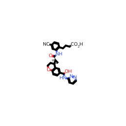 N#Cc1ccc(CCCC(=O)O)c(NC(=O)[C@@H]2C[C@]23CCOc2ccc(C(O)Nc4cccnn4)cc23)c1